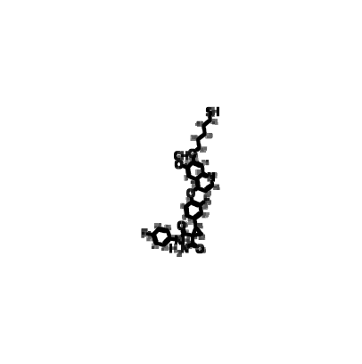 COc1cc2c(Oc3ccc(C4CC4(C(N)=O)C(=O)Nc4ccc(F)cc4)cc3F)ccnc2cc1OCCCCCS